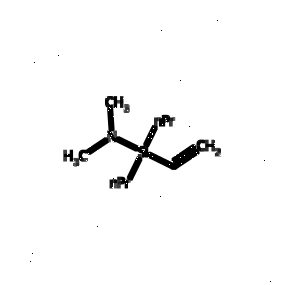 C=C[Si](CCC)(CCC)N(C)C